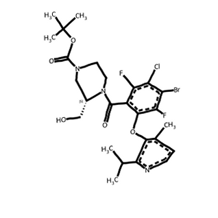 Cc1ccnc(C(C)C)c1Oc1c(F)c(Br)c(Cl)c(F)c1C(=O)N1CCN(C(=O)OC(C)(C)C)C[C@H]1CO